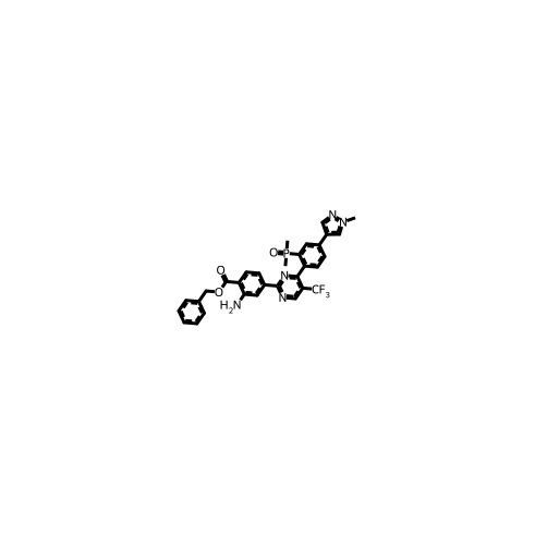 Cn1cc(-c2ccc(-c3nc(-c4ccc(C(=O)OCc5ccccc5)c(N)c4)ncc3C(F)(F)F)c(P(C)(C)=O)c2)cn1